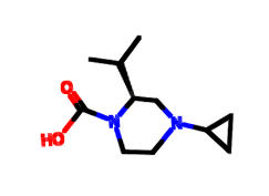 CC(C)[C@H]1CN(C2CC2)CCN1C(=O)O